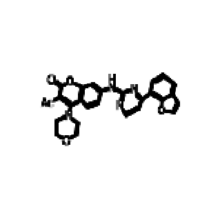 CC(=O)c1c(N2CCOCC2)c2ccc(Nc3nccc(-c4cccc5ccoc45)n3)cc2oc1=O